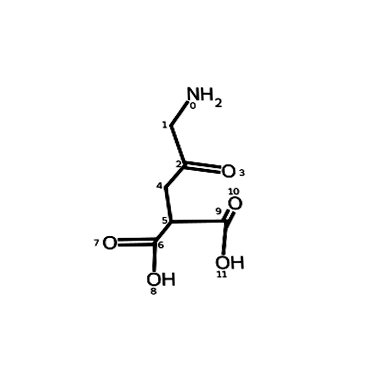 NCC(=O)CC(C(=O)O)C(=O)O